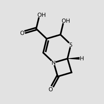 O=C(O)C1=CN2C(=O)C[C@H]2SC1O